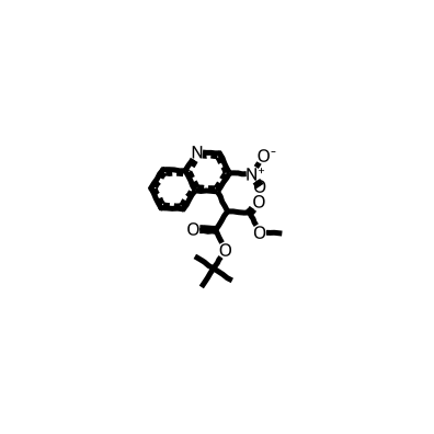 COC(=O)C(C(=O)OC(C)(C)C)c1c([N+](=O)[O-])cnc2ccccc12